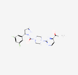 COC(=O)c1ccnc(N2CCN(C(=O)N3N=CCC3c3cc(F)cc(F)c3)CC2)n1